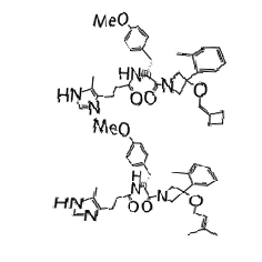 COc1ccc(C[C@@H](NC(=O)CCc2nc[nH]c2C)C(=O)N2CC(OCC3CCC3)(c3ccccc3C)C2)cc1.COc1ccc(C[C@@H](NC(=O)CCc2nc[nH]c2C)C(=O)N2CC(OCC=C(C)C)(c3ccccc3C)C2)cc1